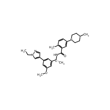 CCn1cc(-c2cc(OC)cc([C@@H](C)NC(=O)c3cc(N4CCN(C)CC4)ccc3C)c2)cn1